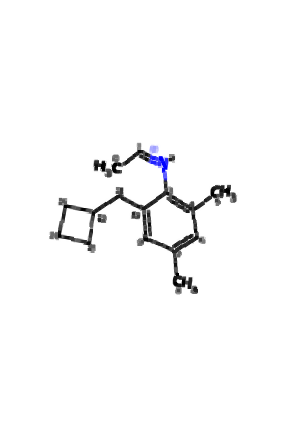 C/C=N\c1c(C)cc(C)cc1CC1CCC1